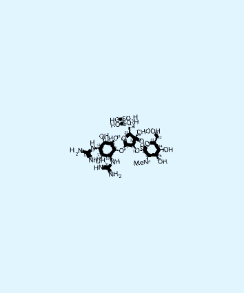 CN[C@@H]1[C@H](O[C@H]2[C@H](O[C@H]3[C@H](O)[C@@H](O)[C@H](NC(=N)N)[C@@H](O)[C@@H]3NC(=N)N)O[C@@H](C)[C@]2(O)C=O)O[C@@H](CO)[C@H](O)[C@H]1O.O=S(=O)(O)O.O=S(=O)(O)O